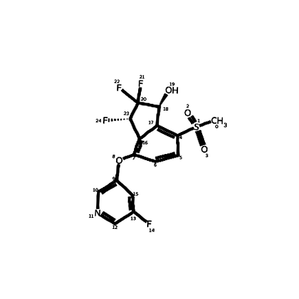 CS(=O)(=O)c1ccc(Oc2cncc(F)c2)c2c1[C@H](O)C(F)(F)[C@H]2F